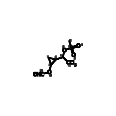 CS(=O)(=O)OC(C1CC1OC=O)C(Cl)(Cl)Cl